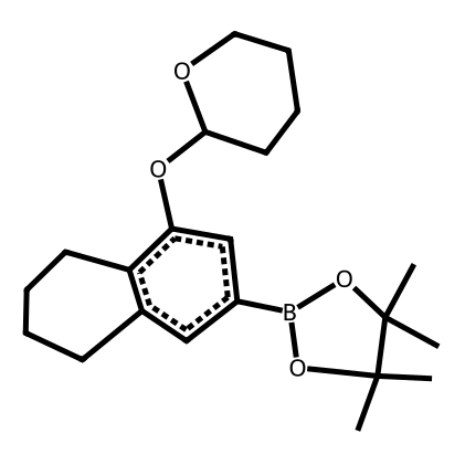 CC1(C)OB(c2cc3c(c(OC4CCCCO4)c2)CCCC3)OC1(C)C